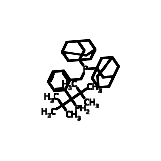 CC(C)(C)C(P)(c1ccccc1CP(C12CC3CC(CC(C3)C1)C2)C12CC3CC(CC(C3)C1)C2)C(C)(C)C